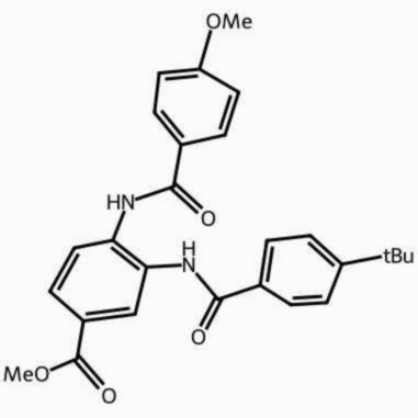 COC(=O)c1ccc(NC(=O)c2ccc(OC)cc2)c(NC(=O)c2ccc(C(C)(C)C)cc2)c1